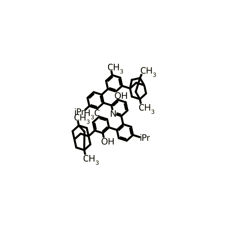 Cc1cc(-c2ccc(C(C)C)cc2-c2cccc(-c3cc(C(C)C)ccc3-c3cc(C)cc(C45CC6CC(C)(C4)CC6(C)C5)c3O)n2)c(O)c(C23CC4CC(C)(CC(C)(C4)C2)C3)c1